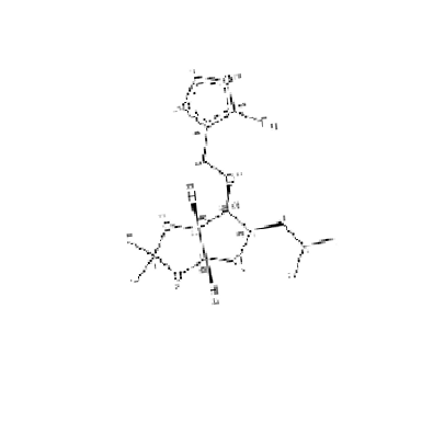 CC(C)C[C@H]1O[C@@H]2OC(C)(C)O[C@@H]2[C@H]1OCc1ccoc1F